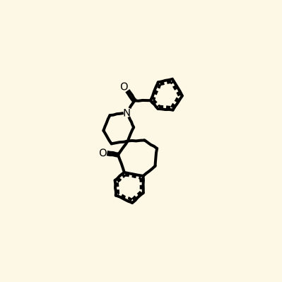 O=C(c1ccccc1)N1CCCC2(CCCc3ccccc3C2=O)C1